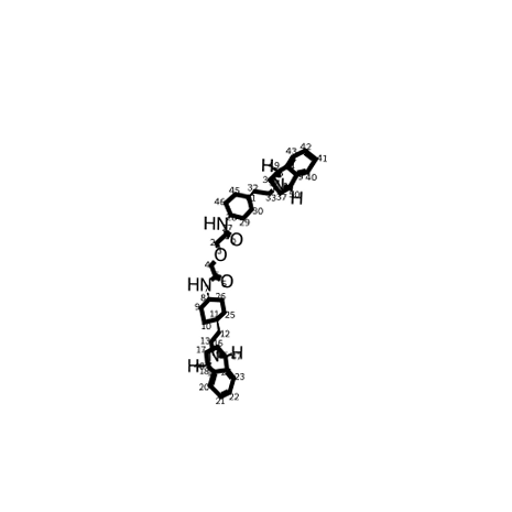 O=C(COCC(=O)N[C@H]1CC[C@H](CCN2[C@@H]3CC[C@H]2c2ccccc23)CC1)N[C@H]1CC[C@H](CCN2[C@@H]3CC[C@H]2c2ccccc23)CC1